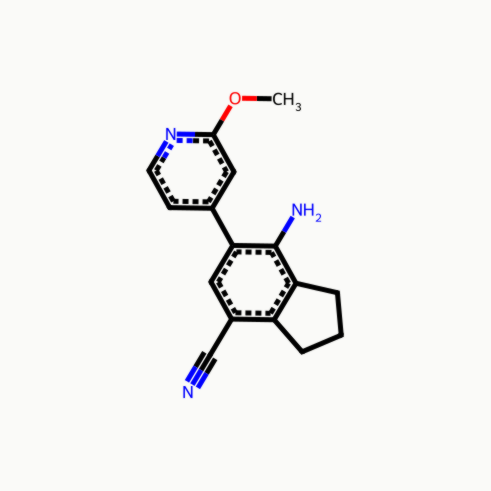 COc1cc(-c2cc(C#N)c3c(c2N)CCC3)ccn1